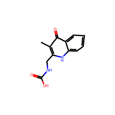 Cc1c(CNC(=O)O)[nH]c2ccccc2c1=O